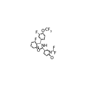 O=C(N[C@@H](c1ccc(OC(F)(F)F)c(F)c1)c1ncccc1F)c1ccc(=O)n(C(F)F)c1